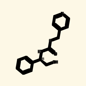 O=C(N[C@@H](CO)c1ccccc1)OCc1ccncc1